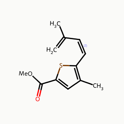 C=C(C)/C=C\c1sc(C(=O)OC)cc1C